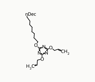 C=CCOc1nc(OCC=C)nc(OCCCCCCCCCCCCCCCCCC)n1